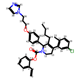 C=Cc1ccccc1OC(=O)N1CCC(c2cc(Cl)ccc2C)=C(CCCC)C1c1ccc(OCCCn2ccnc2)cc1